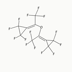 FC(F)(F)C(OC(=C1C(F)(F)C1(F)F)C(F)(F)F)=C1C(F)(F)C1(F)F